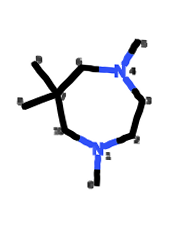 CN1CCN(C)CC(C)(C)C1